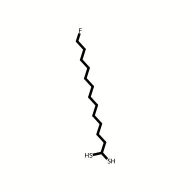 FCCCCCCCCCCCCC(S)S